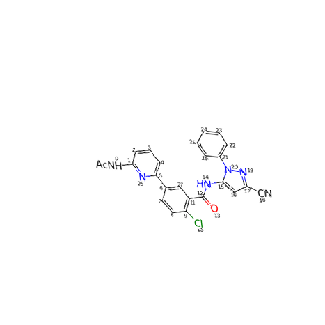 CC(=O)Nc1cccc(-c2ccc(Cl)c(C(=O)Nc3cc(C#N)nn3-c3ccccc3)c2)n1